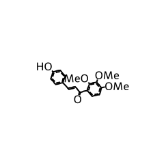 COc1ccc(C(=O)C=Cc2ccc(O)cc2)c(OC)c1OC